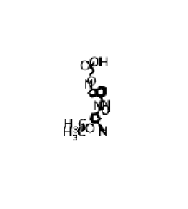 CC(C)Oc1ccc(-c2nc(-c3cccc4c3CC/C4=N/OCCC(=O)O)no2)cc1C#N